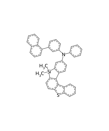 C[Si]1(C)c2cc(N(c3ccccc3)c3cccc(-c4cccc5ccccc45)c3)ccc2-c2c1ccc1sc3ccccc3c21